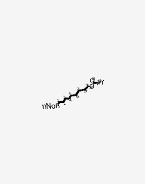 CCCCCCCCCCCCCCCCCCOC(=O)C(C)C